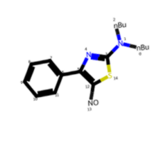 CCCCN(CCCC)c1nc(-c2ccccc2)c(N=O)s1